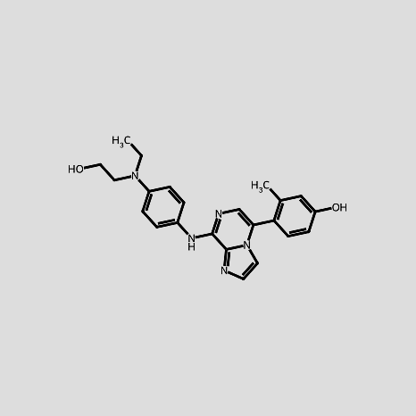 CCN(CCO)c1ccc(Nc2ncc(-c3ccc(O)cc3C)n3ccnc23)cc1